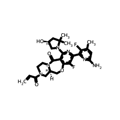 C=CC(=O)N1CCN2C(=O)c3c(N4C[C@@H](O)CC4(C)C)nc(-c4nc(N)cc(C)c4F)c(F)c3OC[C@H]2C1